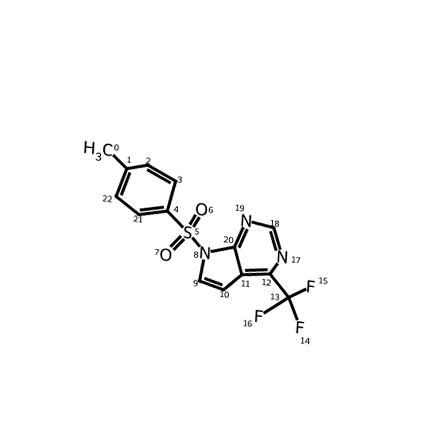 Cc1ccc(S(=O)(=O)n2ccc3c(C(F)(F)F)ncnc32)cc1